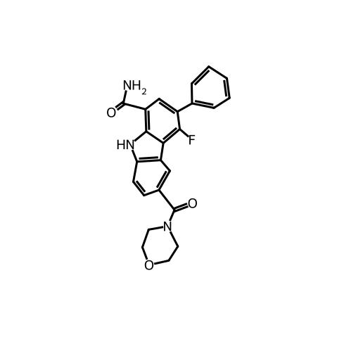 NC(=O)c1cc(-c2ccccc2)c(F)c2c1[nH]c1ccc(C(=O)N3CCOCC3)cc12